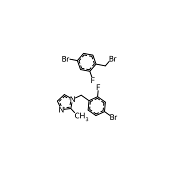 Cc1nccn1Cc1ccc(Br)cc1F.Fc1cc(Br)ccc1CBr